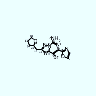 Nc1nc(-c2ncco2)c(Br)c2nc(CC3CCCO3)nn12